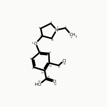 CCN1CCC(Oc2ccc(C(=O)O)c(CCl)c2)C1